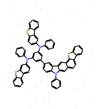 c1ccc(N(c2cc(-c3ccc4c(c3)c3cc5c(ccc6c7ccccc7sc56)cc3n4-c3ccccc3)cc(N(c3ccccc3)c3ccc4sc5ccccc5c4c3)c2)c2ccc3c(c2)sc2ccccc23)cc1